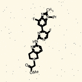 COC(=O)CN1CCc2nc(Nc3ncc(F)c(-c4cc(F)c5nc(C)n(C(C)C)c5c4)n3)ccc2C1